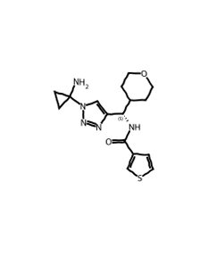 NC1(n2cc([C@@H](NC(=O)c3ccsc3)C3CCOCC3)nn2)CC1